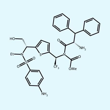 CCN([C@H](CO)c1ccc([C@@H](N(C(=O)OC)C(=O)[C@@H](N)C(c2ccccc2)c2ccccc2)C(F)(F)F)s1)S(=O)(=O)c1ccc(N)cc1